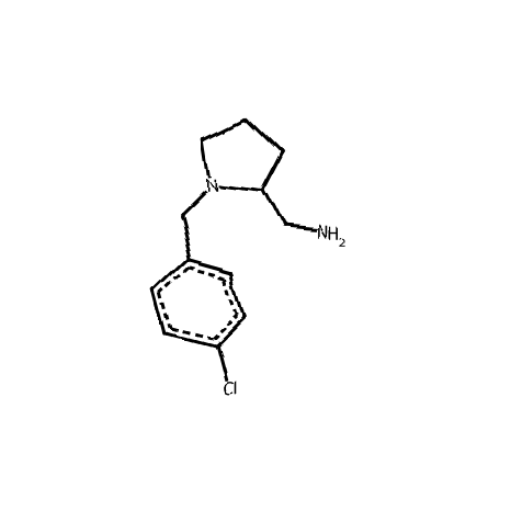 NCC1CCCN1Cc1ccc(Cl)cc1